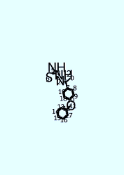 CC(=NNC(N)=S)c1ccc(Oc2ccccc2)cc1